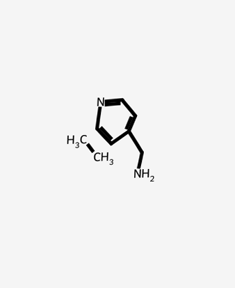 CC.NCc1ccncc1